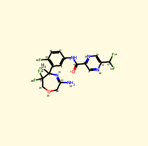 CC1(c2cc(NC(=O)c3cnc(C(F)F)cn3)ccc2F)N=C(N)COCC1(F)F